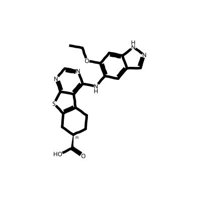 CCOc1cc2[nH]ncc2cc1Nc1ncnc2sc3c(c12)CC[C@@H](C(=O)O)C3